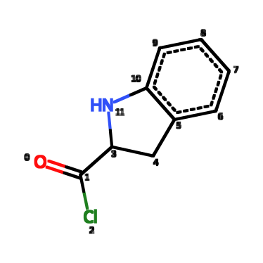 O=C(Cl)C1Cc2ccccc2N1